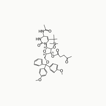 COc1ccc(C(OC[C@H]2O[C@@H](N3C=CC(NC(C)=O)NC3=O)C(O[Si](C)(C)C(C)(C)C)[C@H]2OC(=O)CCC(C)=O)(c2ccccc2)c2ccc(OC)cc2)cc1